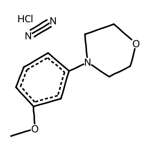 COc1cccc(N2CCOCC2)c1.Cl.N#N